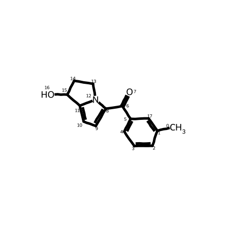 Cc1cccc(C(=O)c2ccc3n2CCC3O)c1